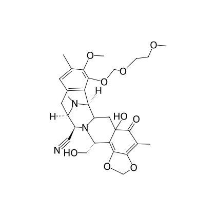 COCCOCOc1c(OC)c(C)cc2c1[C@H]1C3CC4(O)C(=O)C(C)=C5OCOC5=C4[C@H](CO)N3[C@@H](C#N)[C@@H](C2)N1C